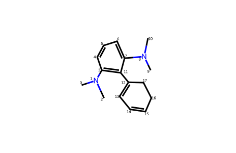 CN(C)c1cccc(N(C)C)c1C1=CC=CCC1